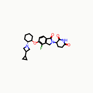 O=C1CCC(N2Cc3c(ccc(O[C@@H]4CCCC[C@H]4N4CC(C5CC5)C4)c3F)C2=O)C(=O)N1